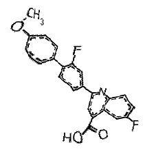 COc1ccc(-c2ccc(-c3cc(C(=O)O)c4cc(F)ccc4n3)cc2F)cc1